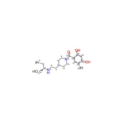 CC(C)C[C@@H](NCCC1CCN(C(=O)c2cc(C(C)C)c(O)cc2O)CC1)C(=O)O